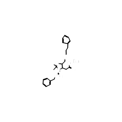 CC(C)(C)OC(=O)CC1C(COCCCc2ccccc2)OC(C)(C)N1C(=O)OCc1ccccc1